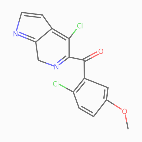 COc1ccc(Cl)c(C(=O)C2=NCC3=NC=CC3=C2Cl)c1